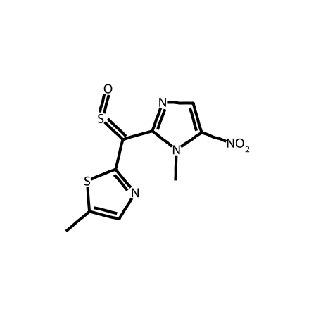 Cc1cnc(C(=S=O)c2ncc([N+](=O)[O-])n2C)s1